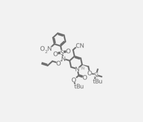 C=CCON(C1CN(C(=O)OC(C)(C)C)[C@H](CO[Si](C)(C)C(C)(C)C)C=C1CC#N)S(=O)(=O)c1ccccc1[N+](=O)[O-]